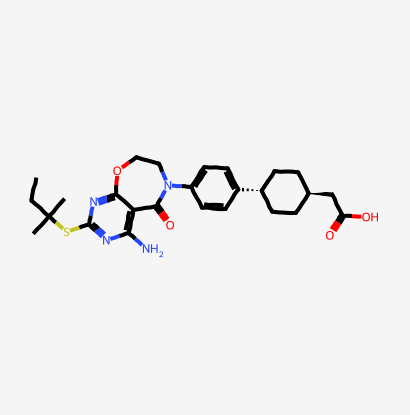 CCC(C)(C)Sc1nc(N)c2c(n1)OCCN(c1ccc([C@H]3CC[C@H](CC(=O)O)CC3)cc1)C2=O